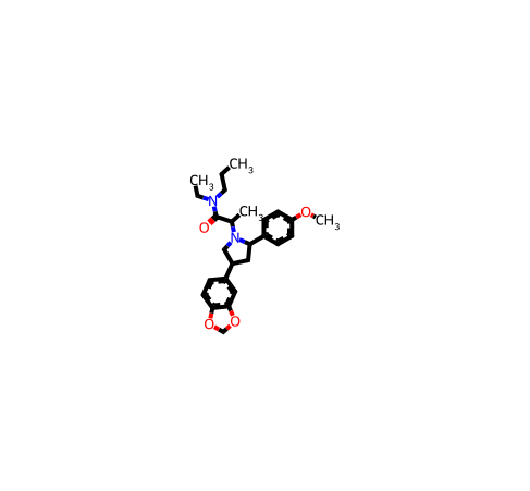 CCCN(CC)C(=O)C(C)N1CC(c2ccc3c(c2)OCO3)CC1c1ccc(OC)cc1